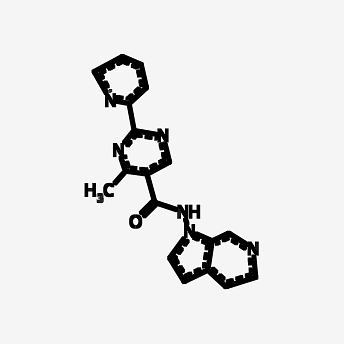 Cc1nc(-c2ccccn2)ncc1C(=O)Nn1ccc2ccncc21